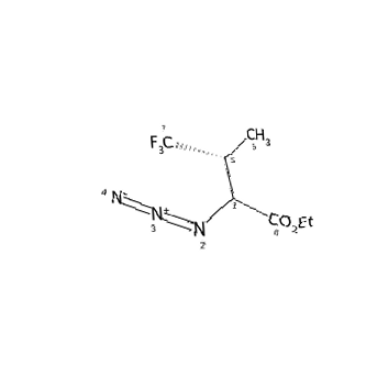 CCOC(=O)C(N=[N+]=[N-])[C@@H](C)C(F)(F)F